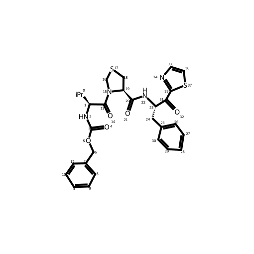 CC(C)[C@H](NC(=O)OCc1ccccc1)C(=O)N1CSC[C@H]1C(=O)N[C@@H](Cc1ccccc1)C(=O)c1nccs1